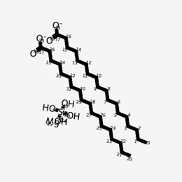 CCCCCCCCCCCCCCCCCC(=O)[O-].CCCCCCCCCCCCCCCCCC(=O)[O-].O[Si](O)(O)O.[Mg+2]